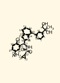 C[C@](O)(CO)c1ccnc(-c2cccc3cc(C(NS(=O)(=O)C4CC4)c4cc(N)ccc4Cl)sc23)c1